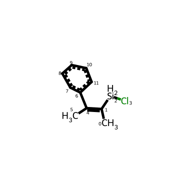 CC([SiH2]Cl)=C(C)c1ccccc1